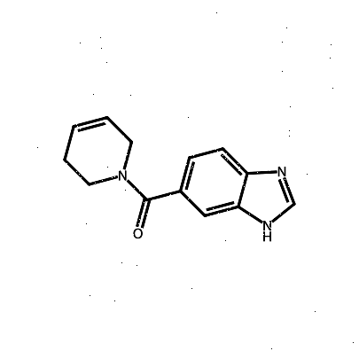 O=C(c1ccc2nc[nH]c2c1)N1CC=CCC1